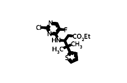 CCOC(=O)CC(Nc1nc(Cl)ncc1F)C(C)(C)c1cccs1